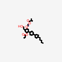 C=CC(=O)Oc1cc(CCO)c(O/C=C/OC(=O)C(=C)C)cc1-c1ccc(-c2ccc(CCCCC)cc2)cc1